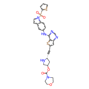 O=C(O[C@H]1CN[C@H](C#Cc2cc3ncnc(Nc4ccc5c(ccn5S(=O)(=O)c5cccs5)c4)c3s2)C1)N1CCOCC1